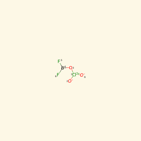 [O-][Cl+2]([O-])OB(F)F